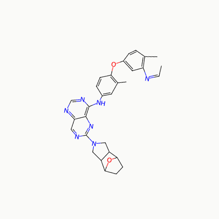 C/C=N\c1cc(Oc2ccc(Nc3ncnc4cnc(N5CC6C7CCC(O7)C6C5)nc34)cc2C)ccc1C